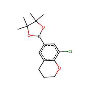 CC1(C)OB(c2cc(Cl)c3c(c2)CCCO3)OC1(C)C